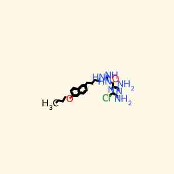 CCCCOc1ccc2cc(CCCCNC(=N)NC(=O)c3nc(Cl)c(N)nc3N)ccc2c1